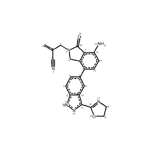 C=C(C#N)CN1Cc2c(-c3ccc4[nH]nc(C5=NCCO5)c4c3)ccc(N)c2C1=O